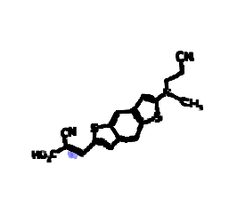 CN(CCC#N)c1cc2cc3sc(/C=C(\C#N)C(=O)O)cc3cc2s1